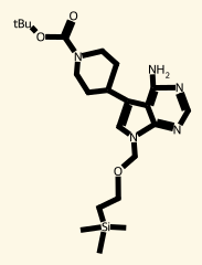 CC(C)(C)OC(=O)N1CCC(c2cn(COCC[Si](C)(C)C)c3ncnc(N)c23)CC1